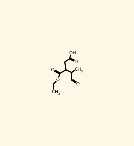 CCOC(=O)C(CC(=O)O)C(C)C=O